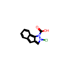 O=C(O)n1c2c3ccccc3cc-2cn1Cl